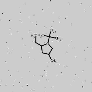 CCC1CC(C)CN1C(C)(C)C